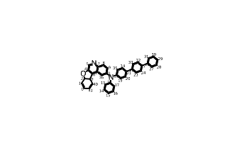 C1=CC2Oc3cnc4ccc(N(c5ccccc5)c5ccc(-c6ccc(-c7ccccc7)cc6)cc5)cc4c3C2C=C1